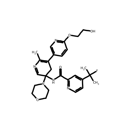 CC1=C(c2ccc(OCCO)nc2)CC(NC(=O)c2cc(C(C)(C)F)ccn2)(N2CCOCC2)C=N1